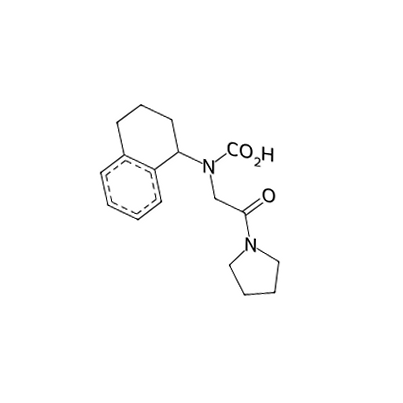 O=C(CN(C(=O)O)C1CCCc2ccccc21)N1CCCC1